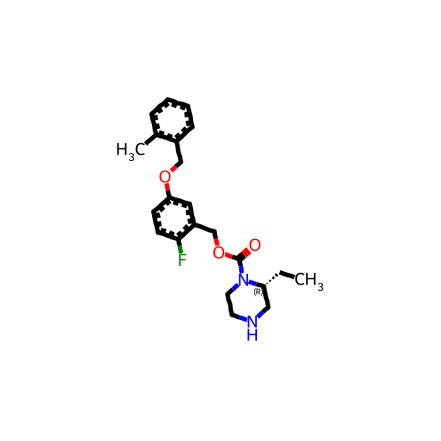 CC[C@@H]1CNCCN1C(=O)OCc1cc(OCc2ccccc2C)ccc1F